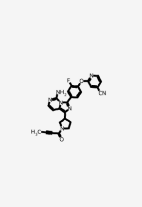 CC#CC(=O)N1CCC(c2nc(-c3ccc(Oc4cc(C#N)ccn4)c(F)c3)n3c(N)nccc23)C1